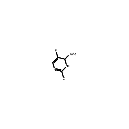 COC1NC(Cl)=NC=C1F